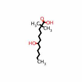 CCCCCC(O)CCCCC(C)(C)C(=O)O